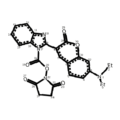 CCN(CC)c1ccc2cc(-c3nc4ccccc4n3C(=O)ON3C(=O)CCC3=O)c(=O)oc2c1